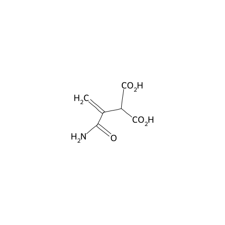 C=C(C(N)=O)C(C(=O)O)C(=O)O